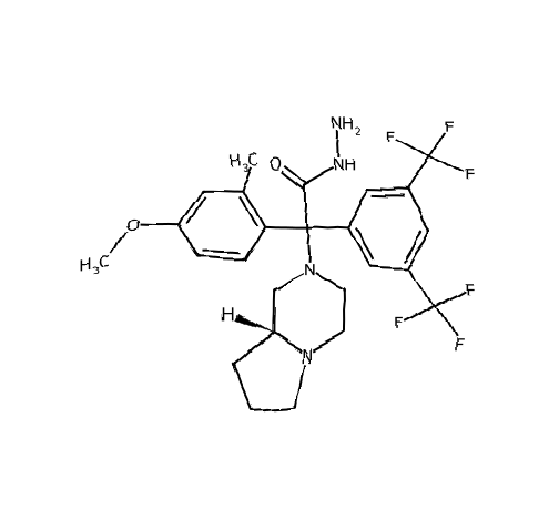 COc1ccc(C(C(=O)NN)(c2cc(C(F)(F)F)cc(C(F)(F)F)c2)N2CCN3CCC[C@@H]3C2)c(C)c1